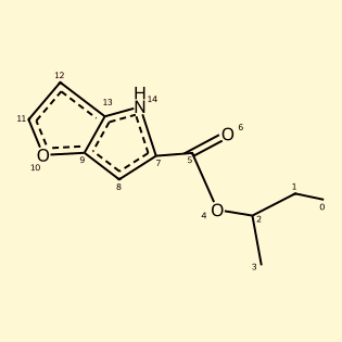 CCC(C)OC(=O)c1cc2occc2[nH]1